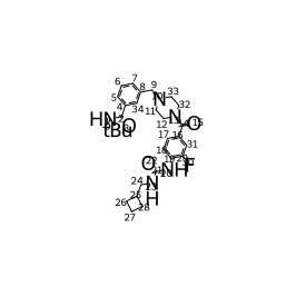 CC(C)(C)NC(=O)c1cccc(CN2CCN(C(=O)c3ccc(NC(=O)NCC4CCC4)c(F)c3)CC2)c1